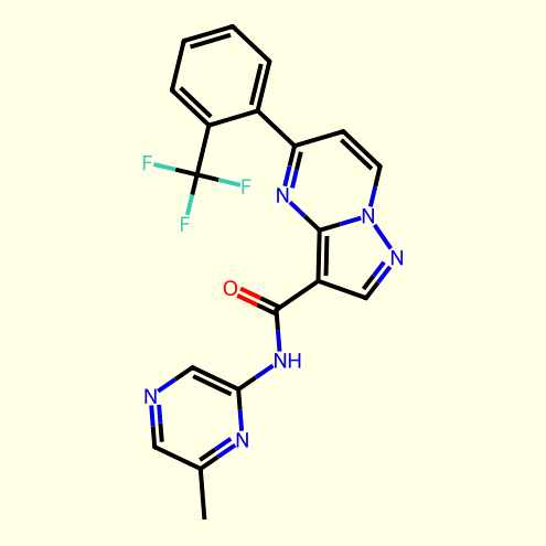 Cc1cncc(NC(=O)c2cnn3ccc(-c4ccccc4C(F)(F)F)nc23)n1